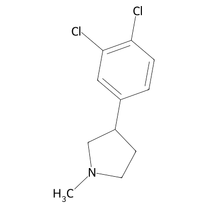 CN1CCC(c2ccc(Cl)c(Cl)c2)C1